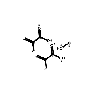 C=C(C)C(=O)O.C=C(C)C(=O)O.[OH][Al]